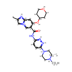 Cc1cn2cc(C(=O)Nc3ccc(N4CCN(C(=O)O)[C@@H](C)C4)nn3)c(OC3CCOCC3)cc2n1